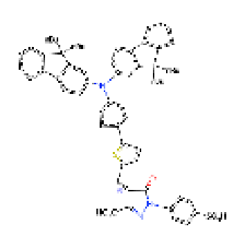 CCCCC1(CCCC)c2ccccc2-c2ccc(N(c3ccc(-c4ccc(/C=C5\C(=O)N(c6ccc(S(=O)(=O)O)cc6)N=C5C(=O)O)s4)cc3)c3ccc4c(c3)C(CCCC)(CCCC)c3ccccc3-4)cc21